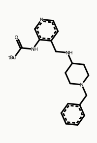 CC(C)(C)C(=O)Nc1cnccc1CNC1CCN(Cc2ccccc2)CC1